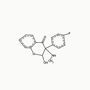 CNC1(c2ccc(F)cc2)C(=O)c2ccccc2OC1O